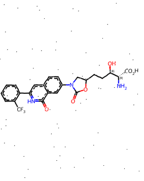 N[C@@H](C(=O)O)[C@H](O)CCC1CN(c2ccc3cc(-c4ccccc4C(F)(F)F)[nH]c(=O)c3c2)C(=O)O1